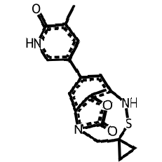 Cc1cc(-c2cc3c4oc(=O)n(c4c2)CC2(CC2)SN3)c[nH]c1=O